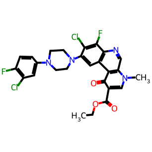 CCOC(=O)c1cn(C)c2cnc3c(F)c(Cl)c(N4CCN(c5ccc(F)c(Cl)c5)CC4)cc3c2c1=O